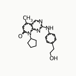 Cc1cc(=O)n(C2CCCC2)c2nc(Nc3ccc(CCO)cc3)ncc12